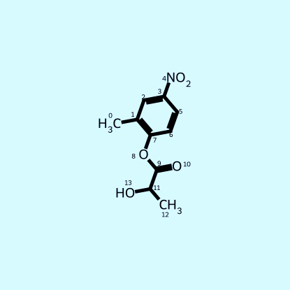 Cc1cc([N+](=O)[O-])ccc1OC(=O)C(C)O